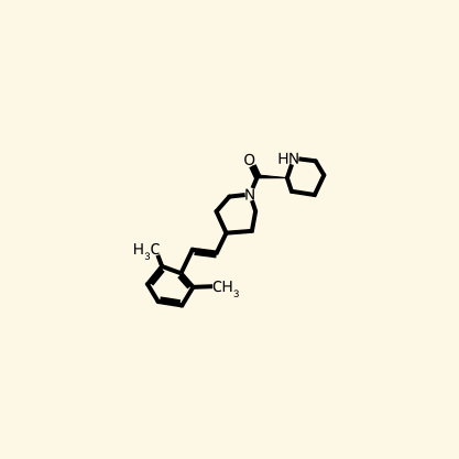 Cc1cccc(C)c1/C=C/C1CCN(C(=O)[C@@H]2CCCCN2)CC1